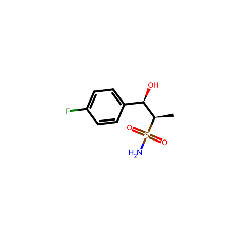 C[C@H]([C@H](O)c1ccc(F)cc1)S(N)(=O)=O